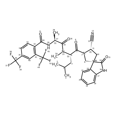 CC(C)C[C@@H](C(=O)N1C[C@]2(C[C@H]1C#N)C(=O)Nc1ccccc12)N(C)C(=O)[C@H](C)NC(=O)c1ccc(C(F)(F)F)cc1C(F)(F)F